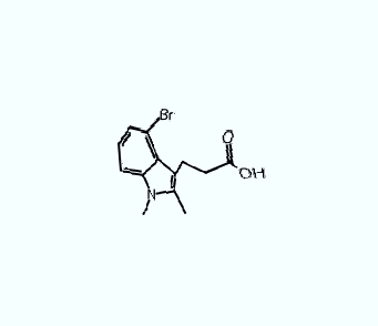 Cc1c(CCC(=O)O)c2c(Br)cccc2n1C